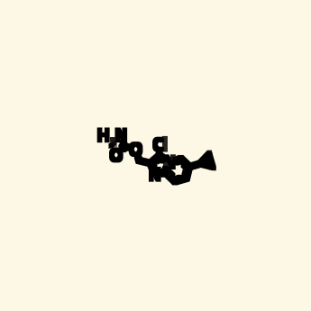 NC(=O)OCc1nc2ccc(C3CC3)cn2c1Cl